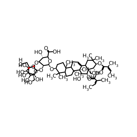 C/C=C(/C)C(=O)O[C@H]1[C@H](OC(=O)/C(C)=C\C)[C@@]2(CO)C(CC1(C)C)C1=CCC3[C@@]4(C)CC[C@H](O[C@@H]5OC(C(=O)O)[C@@H](O)C(OC6O[C@@H](CO)[C@@H](O)C6O)[C@@H]5O[C@@H]5OC(CO)[C@H](O)C(O)[C@@H]5O)C(C)(C)C4CC[C@@]3(C)[C@]1(C)[C@@H](O)[C@H]2O